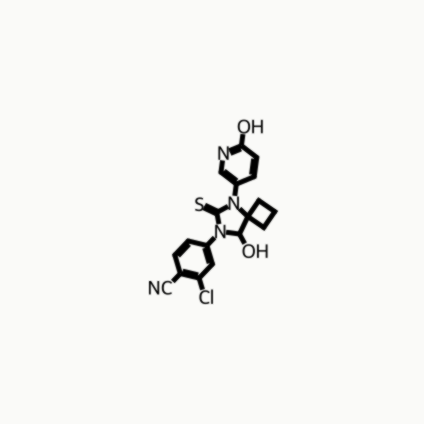 N#Cc1ccc(N2C(=S)N(c3ccc(O)nc3)C3(CCC3)C2O)cc1Cl